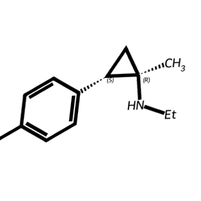 CCN[C@]1(C)C[C@H]1c1ccc(F)cc1